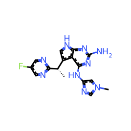 C[C@H](c1ncc(F)cn1)c1c[nH]c2nc(N)nc(Nc3cn(C)cn3)c12